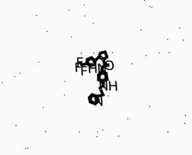 O=C(Nc1ccc(NCCc2ccccn2)cc1)C1=C(c2ccc(C(F)(F)F)cc2)CCC1